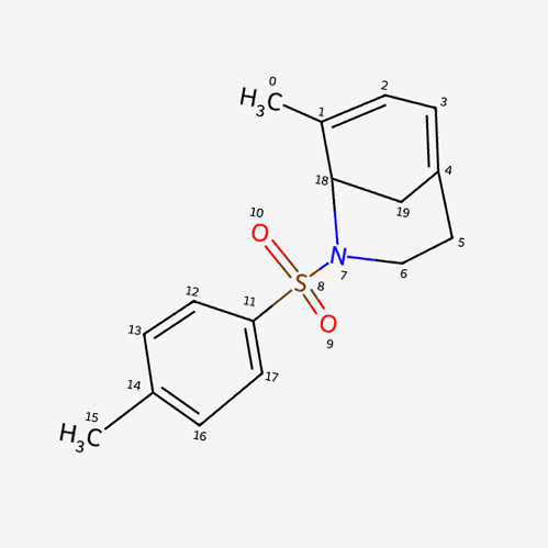 CC1=CC=C2CCN(S(=O)(=O)c3ccc(C)cc3)C1C2